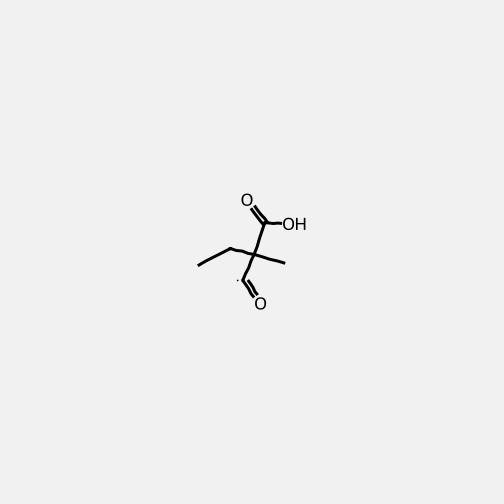 CCC(C)([C]=O)C(=O)O